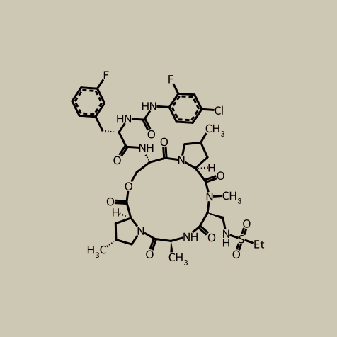 CCS(=O)(=O)NC[C@H]1C(=O)N[C@@H](C)C(=O)N2C[C@H](C)C[C@H]2C(=O)OC[C@H](NC(=O)[C@H](Cc2cccc(F)c2)NC(=O)Nc2ccc(Cl)cc2F)C(=O)N2CC(C)C[C@H]2C(=O)N1C